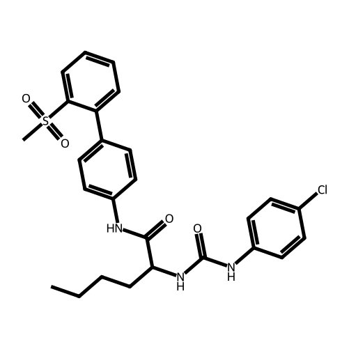 CCCCC(NC(=O)Nc1ccc(Cl)cc1)C(=O)Nc1ccc(-c2ccccc2S(C)(=O)=O)cc1